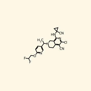 CC(c1ccc(OCC(F)F)nc1)N1CCc2c(C#N)c(Cl)nc(NC3(C#N)CC3)c2C1